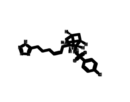 CC1(C)[C@H]2C[C@H](C/C=C\CCCc3nnn[nH]3)[C@@H](NS(=O)(=O)c3ccc(Cl)cc3)[C@H]1C2